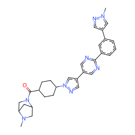 CN1CC2CC1CN2C(=O)C1CCC(n2cc(-c3cnc(-c4cccc(-c5cnn(C)c5)c4)nc3)cn2)CC1